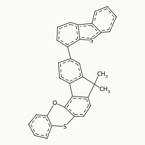 CC1(C)c2cc(-c3cccc4c3sc3ccccc34)ccc2-c2c1ccc1c2Oc2ccccc2S1